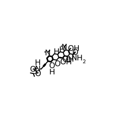 CC(C)S(=O)(=O)NCC#Cc1cc(N(C)C)c2c(c1O)C(=O)C1=C(O)[C@]3(O)C(=O)C(C(N)=O)=C(O)[C@H](N(C)C)[C@@H]3C[C@@H]1C2